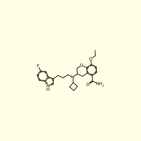 CCOc1ccc(C(N)=O)c2c1OCC(N(CCCc1c[nH]c3ccc(F)cc13)C1CCC1)C2